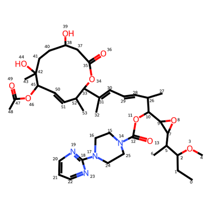 CCC(OC)C(C)C1OC1C(OC(=O)N1CCN(c2ncccn2)CC1)C(C)/C=C/C=C(\C)C1OC(=O)CC(O)CCC(C)(O)C(OC(C)=O)/C=C/C1C